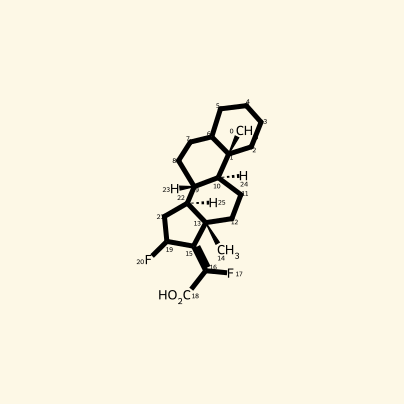 C[C@]12CCCCC1CC[C@@H]1[C@@H]2CC[C@]2(C)C(=C(F)C(=O)O)C(F)C[C@@H]12